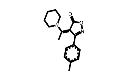 CC(=C1C(=O)ON=C1c1ccc(C)cc1)N1CCCCC1